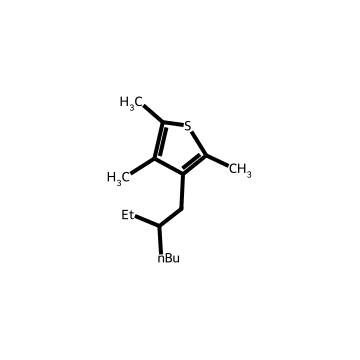 CCCCC(CC)Cc1c(C)sc(C)c1C